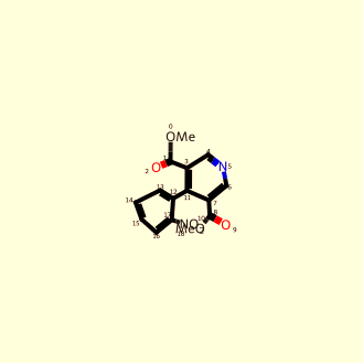 COC(=O)c1cncc(C(=O)OC)c1-c1ccccc1[N+](=O)[O-]